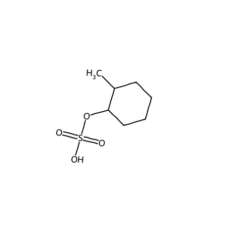 CC1CCCCC1OS(=O)(=O)O